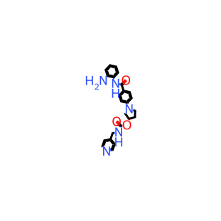 Nc1ccccc1NC(=O)c1ccc(N2CCC(OC(=O)NCc3ccncc3)C2)cc1